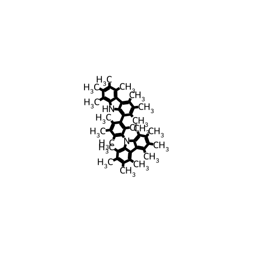 Cc1c(C)c(-c2c(C)c(C)c(C)c3c2[nH]c2c(C)c(C)c(C)c(C)c23)c(Cl)c(-n2c3c(C)c(C)c(C)c(C)c3c3c(C)c(C)c(C)c(C)c32)c1C